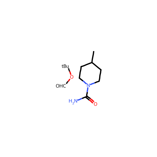 CC(C)(C)OC=O.CC1CCN(C(N)=O)CC1